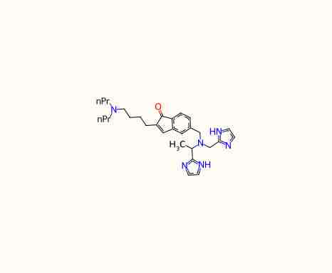 CCCN(CCC)CCCCC1=Cc2cc(CN(Cc3ncc[nH]3)C(C)c3ncc[nH]3)ccc2C1=O